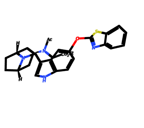 CCOC(=O)CN(C(C)=O)[C@H]1C[C@H]2CC[C@@H](C1)N2Cc1c[nH]c2ccc(Oc3nc4ccccc4s3)cc12